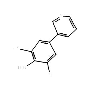 Nc1c(N=O)cc(-c2cccnc2)cc1N=O